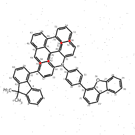 CC1(C)c2ccccc2-c2c(-c3ccc(N(c4ccc(-c5cccc6c5oc5ccccc56)cc4)c4ccccc4-c4cccc5cccc(-c6ccccc6)c45)cc3)cccc21